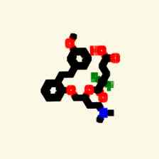 COc1cccc(CCc2ccccc2OCC(CCN(C)C)OC(=O)C(F)(F)CCC(=O)O)c1